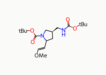 CO/C=C/C1C[C@H](CNC(=O)OC(C)(C)C)CN1C(=O)OC(C)(C)C